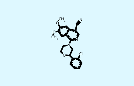 COc1cc2c(C#N)cnc(N3CCOC(c4ccccc4Cl)C3)c2cc1OC